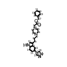 O=C(CN1CCN(CCCc2c[nH]c3ccc(-n4cnnc4)cc23)CC1)OCc1ccccc1